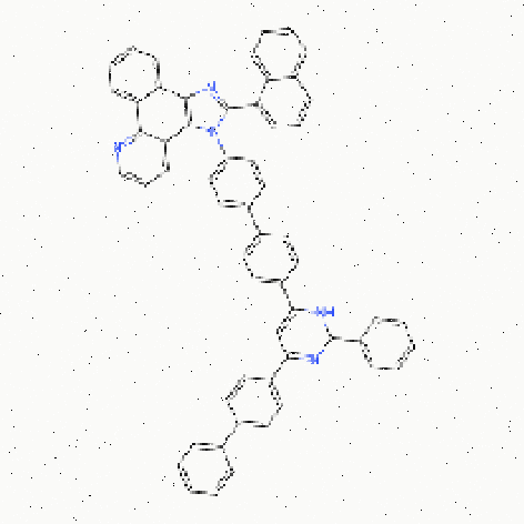 C1=C(c2ccc(-c3ccc(-n4c(-c5cccc6ccccc56)nc5c6ccccc6c6ncccc6c54)cc3)cc2)NC(c2ccccc2)N=C1c1ccc(-c2ccccc2)cc1